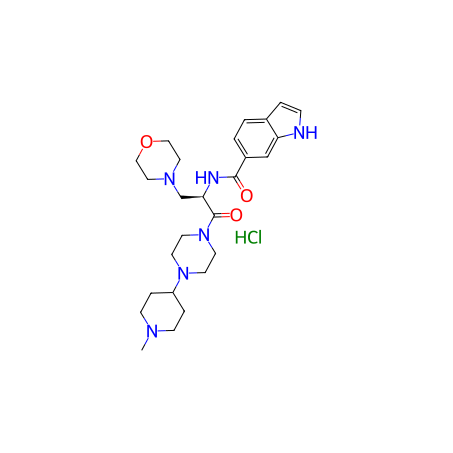 CN1CCC(N2CCN(C(=O)[C@@H](CN3CCOCC3)NC(=O)c3ccc4cc[nH]c4c3)CC2)CC1.Cl